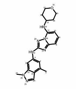 Cc1cc(Nc2nc3cccc(NC4CCOCC4)n3n2)cc2c1cnn2C